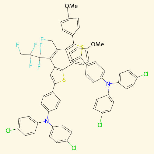 COc1ccc(-c2sc(-c3ccc(N(c4ccc(Cl)cc4)c4ccc(Cl)cc4)cc3)cc2/C(CF)=C(\c2cc(-c3ccc(N(c4ccc(Cl)cc4)c4ccc(Cl)cc4)cc3)sc2-c2ccc(OC)cc2)C(F)(F)C(F)(F)CF)cc1